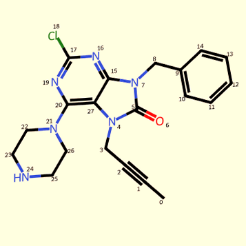 CC#CCn1c(=O)n(Cc2ccccc2)c2nc(Cl)nc(N3CCNCC3)c21